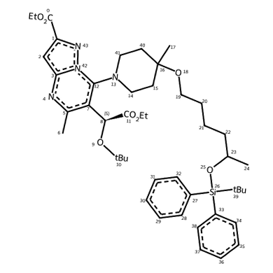 CCOC(=O)c1cc2nc(C)c([C@H](OC(C)(C)C)C(=O)OCC)c(N3CCC(C)(OCCCCC(C)O[Si](c4ccccc4)(c4ccccc4)C(C)(C)C)CC3)n2n1